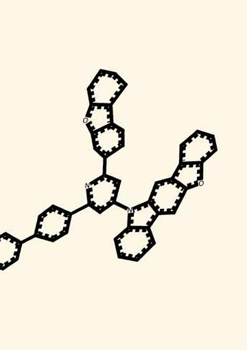 c1ccc(-c2ccc(-c3cc(-n4c5ccccc5c5cc6oc7ccccc7c6cc54)cc(-c4ccc5c(c4)oc4ccccc45)n3)cc2)cc1